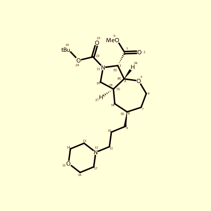 COC(=O)[C@@H]1[C@@H]2OCC[C@@H](CCCN3CCOCC3)C[C@H]2CN1C(=O)OC(C)(C)C